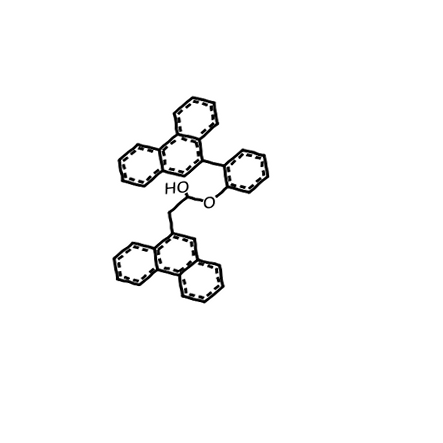 OC(Cc1cc2ccccc2c2ccccc12)Oc1ccccc1-c1cc2ccccc2c2ccccc12